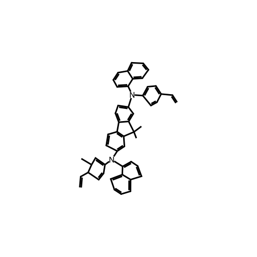 C=Cc1ccc(N(c2ccc3c(c2)C(C)(C)c2cc(N(C4=CC(C)C(C=C)C=C4)c4cccc5ccccc45)ccc2-3)c2cccc3ccccc23)cc1